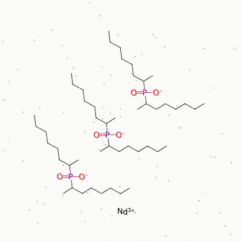 CCCCCCC(C)P(=O)([O-])C(C)CCCCCC.CCCCCCC(C)P(=O)([O-])C(C)CCCCCC.CCCCCCC(C)P(=O)([O-])C(C)CCCCCC.[Nd+3]